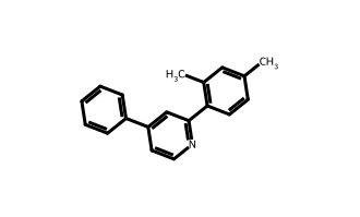 Cc1ccc(-c2cc(-c3ccccc3)ccn2)c(C)c1